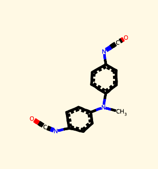 CN(c1ccc(N=C=O)cc1)c1ccc(N=C=O)cc1